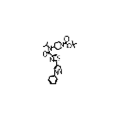 CC(C)N(C(=O)c1csc(-c2cnn(-c3ccccc3)c2)n1)C1CCN(C(=O)OC(C)(C)C)CC1